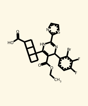 CCOC(=O)C1=C(C23C4C5C2C2C3C4C52C(=O)O)NC(c2nccs2)=NC1c1ccc(F)c(F)c1Br